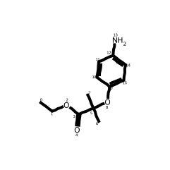 CCOC(=O)C(C)(C)Oc1ccc(N)cc1